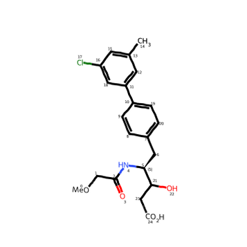 COCC(=O)N[C@@H](Cc1ccc(-c2cc(C)cc(Cl)c2)cc1)C(O)CC(=O)O